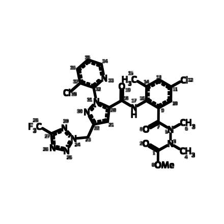 COC(=O)N(C)N(C)C(=O)c1cc(Cl)cc(C)c1NC(=O)c1cc(Cn2nnc(C(F)(F)F)n2)nn1-c1ncccc1Cl